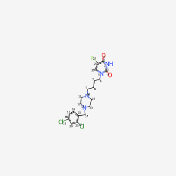 O=c1[nH]c(=O)n(CCCCN2CCN(Cc3ccc(Cl)cc3Cl)CC2)cc1F